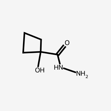 NNC(=O)C1(O)CCC1